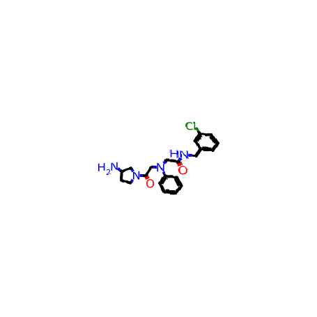 NC1CCN(C(=O)CN(CC(=O)NCc2cccc(Cl)c2)c2ccccc2)C1